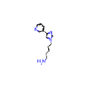 NCCCCCn1cnc(-c2cccnc2)c1